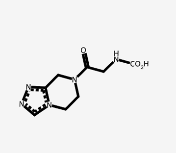 O=C(O)NCC(=O)N1CCn2cnnc2C1